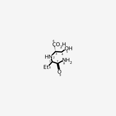 CCC(N[C@@H](CO)C(=O)O)C(N)=O